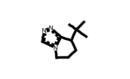 CC(C)(C)C1CCCn2cnnc21